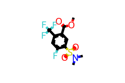 COC(=O)c1cc(S(=O)(=O)N(C)C)c(F)cc1C(F)(F)F